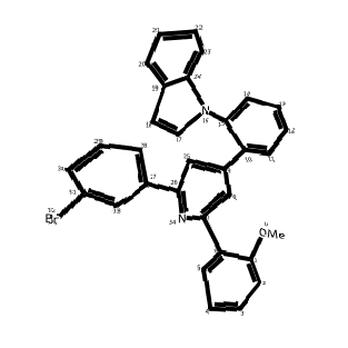 COc1ccccc1-c1cc(-c2ccccc2-n2ccc3ccccc32)cc(-c2cccc(Br)c2)n1